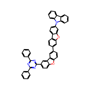 c1ccc(-c2nc(-c3ccccc3)nc(-c3ccc4oc5ccc(-c6ccc7c(c6)oc6cc(-n8c9ccccc9c9ccccc98)ccc67)cc5c4c3)n2)cc1